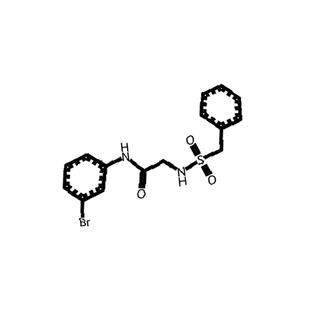 O=C(CNS(=O)(=O)Cc1ccccc1)Nc1cccc(Br)c1